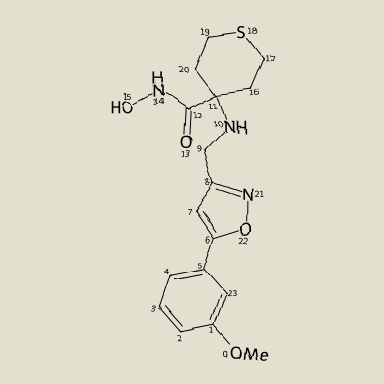 COc1cccc(-c2cc(CNC3(C(=O)NO)CCSCC3)no2)c1